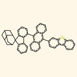 c1ccc2c(c1)-c1c(-c3c4ccccc4c(-c4ccc5c(c4)sc4ccccc45)c4ccccc34)cccc1C21C2CC3CC(C2)CC1C3